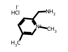 Cc1ccc(CN)[n+](C)c1.Cl.[I-]